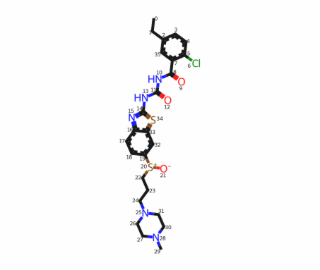 CCc1ccc(Cl)c(C(=O)NC(=O)Nc2nc3ccc([S+]([O-])CCCN4CCN(C)CC4)cc3s2)c1